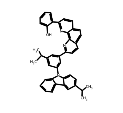 CC(C)c1cc(-c2ccc3ccc4ccc(-c5ccccc5O)nc4c3n2)cc(-n2c3ccccc3c3cc(C(C)C)ccc32)c1